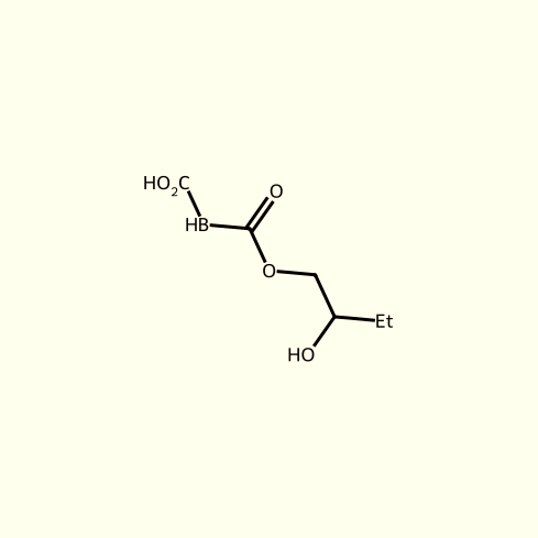 CCC(O)COC(=O)BC(=O)O